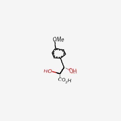 COc1ccc([C@H](O)[C@@H](O)C(=O)O)cc1